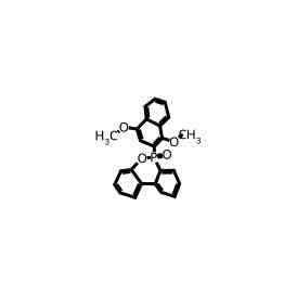 COc1cc(P2(=O)Oc3ccccc3-c3ccccc32)c(OC)c2ccccc12